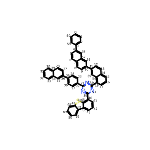 c1ccc(-c2ccc3ccc(-c4ccc5cccc(-c6nc(-c7ccc(-c8ccc9ccccc9c8)cc7)nc(-c7cccc8c7sc7ccccc78)n6)c5c4)cc3c2)cc1